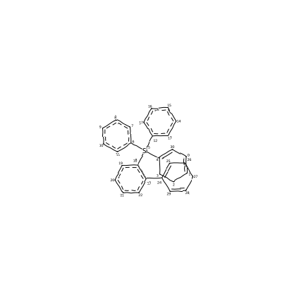 C1=CCCC([Si](c2ccccc2)(c2ccccc2)c2ccccc2C2=CCCC=C2)=C1